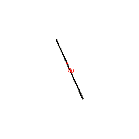 CCCCCCCCCCCCCCCCCCCCCCCCCCCCCCOC(=O)CCCCCCCCCCCCCCCCCCCCCCCCCCC